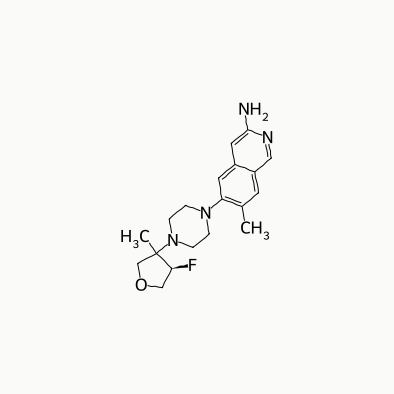 Cc1cc2cnc(N)cc2cc1N1CCN(C2(C)COC[C@@H]2F)CC1